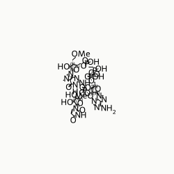 COCC[C@H]1[C@@H](O)[C@H](n2c[n+](C)c3c(=O)[nH]c(N)nc32)O[C@@H]1COP(=O)(O)CCP(=O)(O)OP(=O)(O)OC[C@H]1O[C@@H](n2cnc3c(N)ncnc32)[C@H](OC)[C@@H]1OP(=O)([O-])OC[C@H]1O[C@@H](n2ccc(=O)[nH]c2=O)[C@H](O)[C@@H]1O